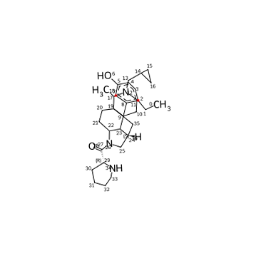 CCc1ccc(O)cc1C12CCN(CC3CC3)C(C)C13CCC1C2[C@@H](CN1C(=O)[C@H]1CCCCN1)C3